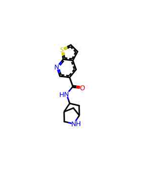 O=C(NC1CC2CC1CN2)c1cnc2sccc2c1